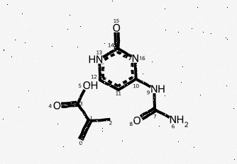 C=C(C)C(=O)O.NC(=O)Nc1cc[nH]c(=O)n1